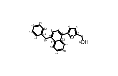 OCc1ccc(-c2ccc(Cc3ccccc3)c3ccccc23)o1